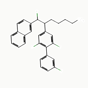 CCCCCC(c1cc(F)c(-c2cccc(F)c2)c(F)c1)C(F)c1ccc2ccccc2c1